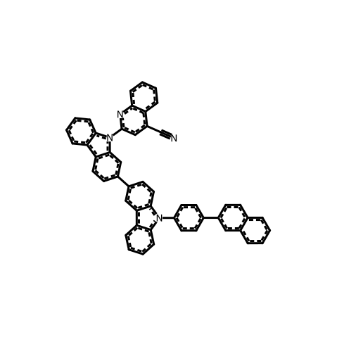 N#Cc1cc(-n2c3ccccc3c3ccc(-c4ccc5c(c4)c4ccccc4n5-c4ccc(-c5ccc6ccccc6c5)cc4)cc32)nc2ccccc12